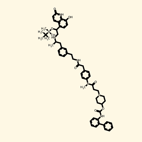 CC(Cc1cccc(CCNC(=O)Cc2ccc(N(C)C(=O)CCN3CCC(OC(=O)Nc4ccccc4-c4ccccc4)CC3)cc2)c1)NCC(O[Si](C)(C)C(C)(C)C)c1ccc(O)c2[nH]c(=O)ccc12